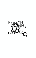 CCn1cc(-c2cn[nH]c2)c2c(-c3cccc(OCc4ccccc4)c3C)c(N)c(C#N)nc21